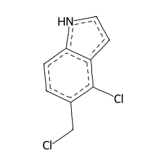 ClCc1ccc2[nH]ccc2c1Cl